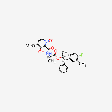 COc1cc[n+]([O-])c(C(=O)N[C@@H](C)C(=O)O[C@@H](C)[C@@H](c2ccccc2)c2ccc(F)c(C)c2)c1O